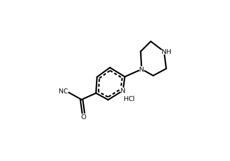 Cl.N#CC(=O)c1ccc(N2CCNCC2)nc1